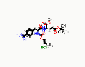 C=CCOC(=O)N[C@@H](Cc1ccc(C(=N)N)cc1)C(=O)N[C@@H](CCC(=O)OC(C)(C)C)C(=O)OC.Cl